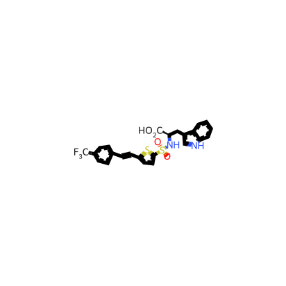 O=C(O)[C@@H](Cc1c[nH]c2ccccc12)NS(=O)(=O)c1ccc(C#Cc2ccc(C(F)(F)F)cc2)s1